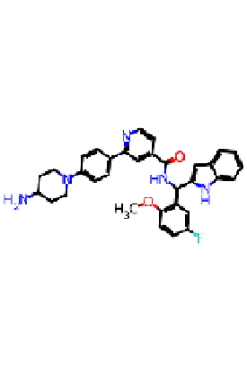 COc1ccc(F)cc1C(NC(=O)c1ccnc(-c2ccc(N3CCC(N)CC3)cc2)c1)c1cc2ccccc2[nH]1